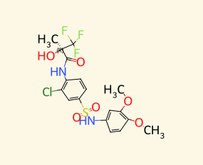 COc1ccc(NS(=O)(=O)c2ccc(NC(=O)[C@@](C)(O)C(F)(F)F)c(Cl)c2)cc1OC